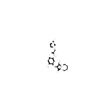 C[n+]1ccn(CC(=O)NC2=C/C(=N\c3c(N)n4n(c3=O)CCCC4)C(N)=CC2=O)c1